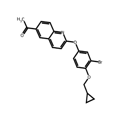 CC(=O)c1ccc2nc(Oc3ccc(OCC4CC4)c(Br)c3)ccc2c1